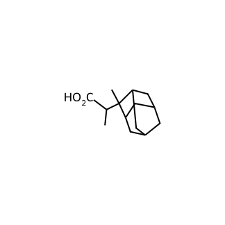 CC(C(=O)O)C1(C)C2CC3CC(C2)CC1C3